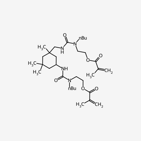 C=C(C)C(=O)OCCN(CCCC)C(=O)NCC1(C)CC(NC(=O)N(CCCC)CCOC(=O)C(=C)C)CC(C)(C)C1